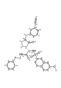 COc1ccc2ccc(S(=O)(=O)NC(C(=O)NCCc3ccccc3)[C@@H]3CCN(Cc4ccnc(C#N)c4)C3=O)cc2c1